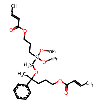 CC=CC(=O)OCCCC(C)(O[SiH2][Si](CCCOC(=O)C=CC)(OCCC)OCCC)c1ccccc1